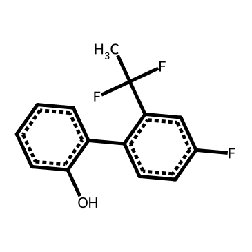 CC(F)(F)c1cc(F)ccc1-c1ccccc1O